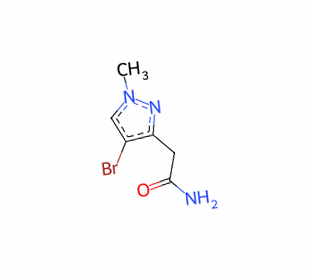 Cn1cc(Br)c(CC(N)=O)n1